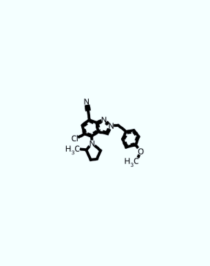 COc1ccc(Cn2cc3c(N4CCCC4C)c(Cl)cc(C#N)c3n2)cc1